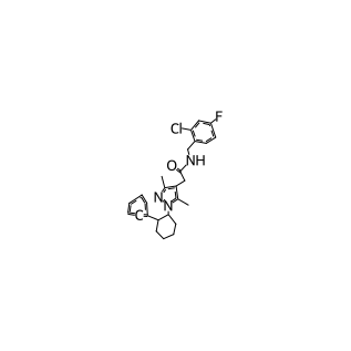 Cc1nn(C2CCCCC2c2ccccc2)c(C)c1CC(=O)NCc1ccc(F)cc1Cl